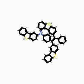 C(=C(/c1ccccc1)c1ccc2sc3cccc(N(c4ccccc4)c4ccc5sc6ccccc6c5c4)c3c2c1)/c1ccc2sc3ccccc3c2c1